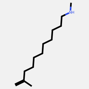 C=C(C)CCCCCCCCCNC